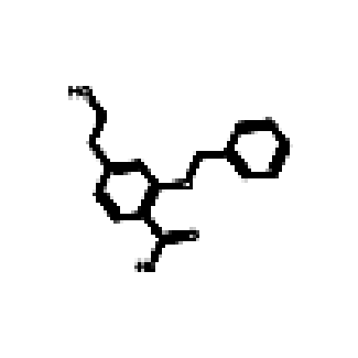 [NH]C(=O)c1ccc(CCO)cc1OCc1ccccc1